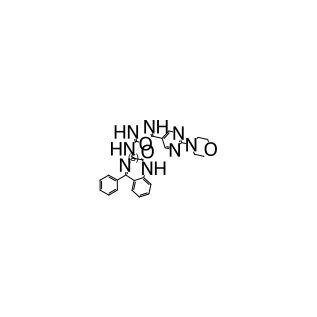 N=C(N[C@H]1N=C(c2ccccc2)c2ccccc2NC1=O)OC(=N)c1cnc(N2CCOCC2)nc1